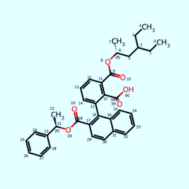 CCC(CC)C[C@@H](C)OC(=O)c1cccc(-c2c(C(=O)O[C@H](C)c3ccccc3)ccc3ccccc23)c1C(=O)O